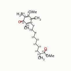 BC1=C(OC)C(=C)C(CCCCCCCCC(C)C(=O)OC)=C(C)C1=O